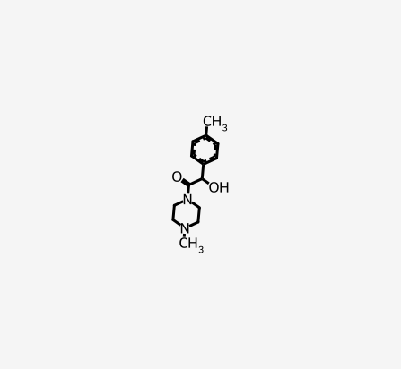 Cc1ccc(C(O)C(=O)N2CCN(C)CC2)cc1